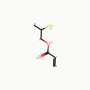 [CH2]C(S)COC(=O)C=C